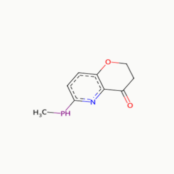 CPc1ccc2c(n1)C(=O)CCO2